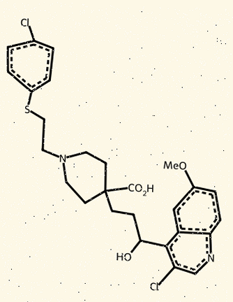 COc1ccc2ncc(Cl)c(C(O)CCC3(C(=O)O)CCN(CCSc4ccc(Cl)cc4)CC3)c2c1